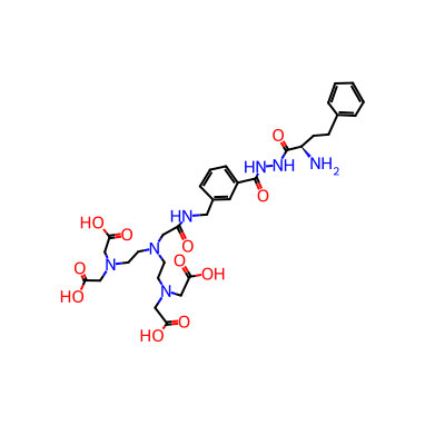 N[C@H](CCc1ccccc1)C(=O)NNC(=O)c1cccc(CNC(=O)CN(CCN(CC(=O)O)CC(=O)O)CCN(CC(=O)O)CC(=O)O)c1